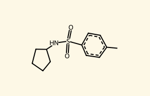 Cc1ccc(S(=O)(=O)NC2CCCC2)cc1